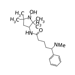 CNC(CCCC(=O)NC1CC(C)(C)N(O)C1(C)C)c1ccccc1